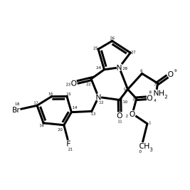 CCOC(=O)C1(CC(N)=O)C(=O)N(Cc2ccc(Br)cc2F)C(=O)c2cccn21